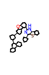 c1ccc(C2=C3Sc4ccccc4C3NC(c3cccc4oc5cc(-c6cccc(-c7cc8ccccc8c8ccccc78)c6)ccc5c34)=N2)cc1